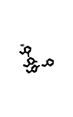 C=Cc1ccc(C)cc1.C=Cc1cccc(C)c1.C=Cc1ccccc1.C=Cc1ccccc1C.Cl